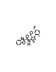 Cc1ccc(F)cc1-c1csc(NC(=O)c2nc3ccccc3o2)c1C=O